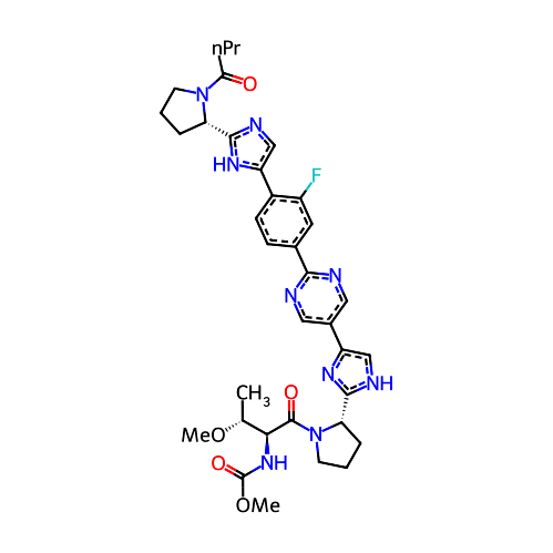 CCCC(=O)N1CCC[C@H]1c1ncc(-c2ccc(-c3ncc(-c4c[nH]c([C@@H]5CCCN5C(=O)[C@@H](NC(=O)OC)[C@@H](C)OC)n4)cn3)cc2F)[nH]1